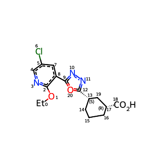 CCOc1ncc(Cl)cc1-c1nnc([C@H]2CCC[C@@H](C(=O)O)C2)o1